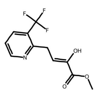 COC(=O)C(O)=CCc1ncccc1C(F)(F)F